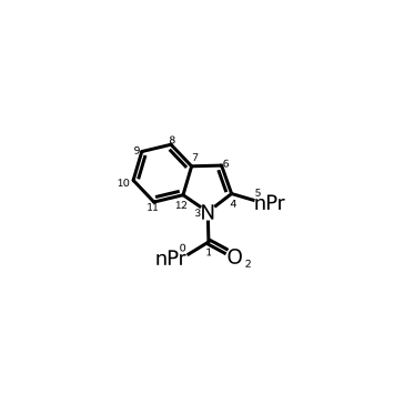 CCCC(=O)n1c(CCC)cc2ccccc21